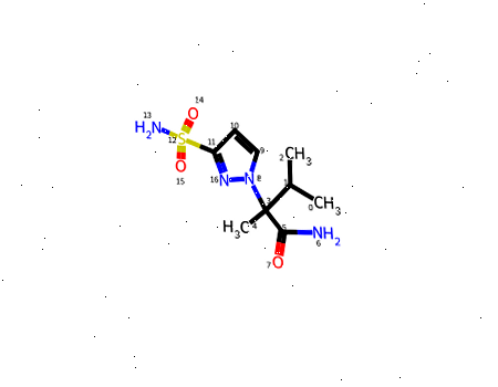 CC(C)C(C)(C(N)=O)n1ccc(S(N)(=O)=O)n1